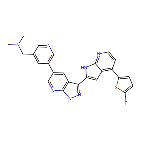 CN(C)Cc1cncc(-c2cnc3[nH]nc(-c4cc5c(-c6ccc(F)s6)ccnc5[nH]4)c3c2)c1